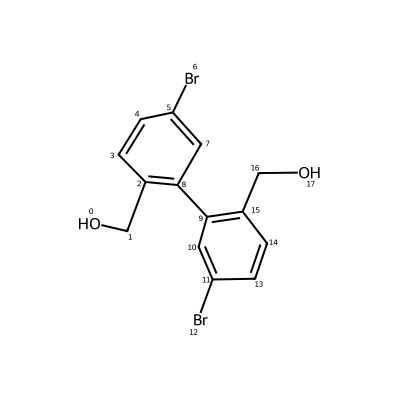 OCc1ccc(Br)cc1-c1cc(Br)ccc1CO